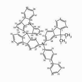 CC1(C)c2ccccc2-c2ccc(N(c3ccc(-c4ccccc4)cc3)c3ccc4c(c3)C3(c5ccccc5-4)c4ccccc4-n4c5ccccc5c5cccc3c54)cc21